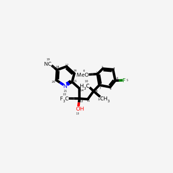 COc1ccc(F)cc1C(C)(C)CC(O)(Cc1ccc(C#N)cn1)C(F)(F)F